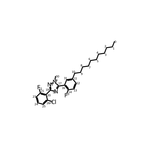 CCCCCCCCCCCc1ccc(F)c(-c2nc(-c3c(F)cccc3Cl)nn2C)c1